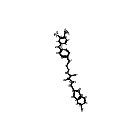 O=C(NCCOc1ccc(Nc2ccc([N+](=O)[O-])c(C(F)(F)F)c2)cc1)C(=O)NCC1Cc2cc(Cl)ccc2O1